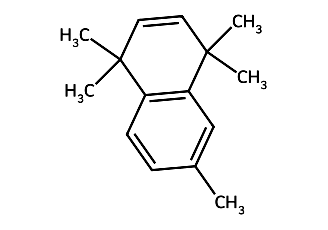 Cc1ccc2c(c1)C(C)(C)C=CC2(C)C